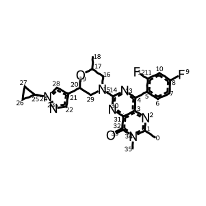 Cc1nc2c(-c3ccc(F)cc3F)nc(N3CC(C)OC(c4cnn(C5CC5)c4)C3)nc2c(=O)n1C